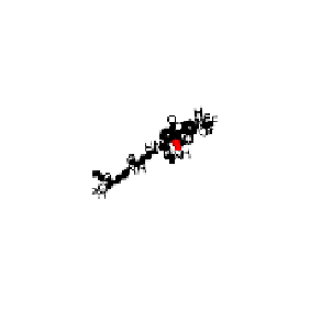 [2H]OCC(CCCCNC(=O)CCCCCNC(=O)c1ccc2c(c1)C1(OC2=O)c2ccc(NC(C)=O)cc2Oc2cc(NC(=O)C(F)(F)F)ccc21)OCCC